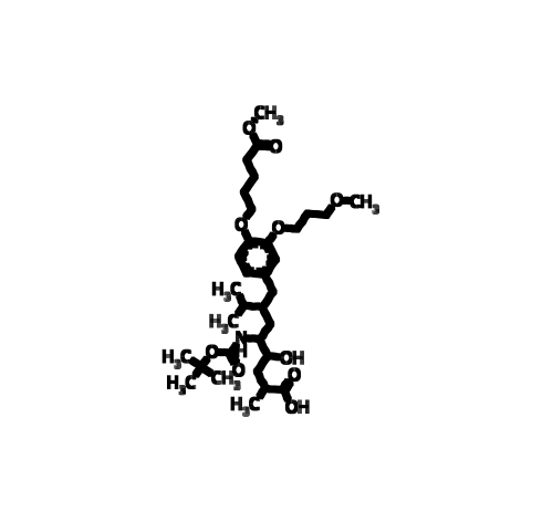 COCCCOc1cc(CC(CC(NC(=O)OC(C)(C)C)C(O)CC(C)C(=O)O)C(C)C)ccc1OCCCCC(=O)OC